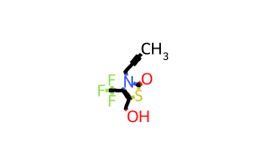 CC#CCn1c(C(F)(F)F)c(CO)sc1=O